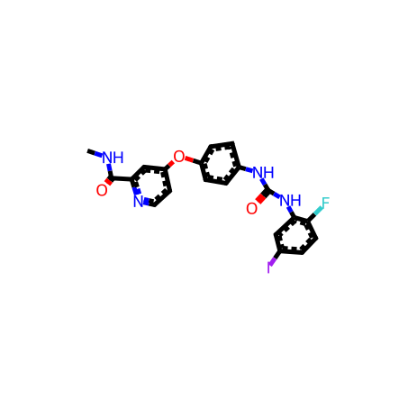 CNC(=O)c1cc(Oc2ccc(NC(=O)Nc3cc(I)ccc3F)cc2)ccn1